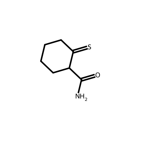 NC(=O)C1CCCCC1=S